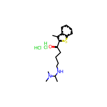 Cc1c(C(=O)CCCCNC(C)N(C)C)sc2ccccc12.Cl.Cl